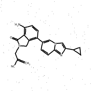 C=C(C#N)CN1Cc2c(-c3ccc4nc(C5CC5)cn4c3)ccc(N)c2C1=O